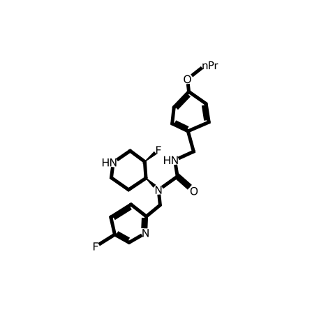 CCCOc1ccc(CNC(=O)N(Cc2ccc(F)cn2)[C@H]2CCNC[C@H]2F)cc1